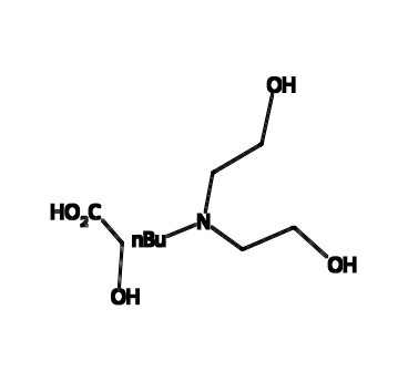 CCCCN(CCO)CCO.O=C(O)CO